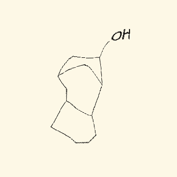 OC1CC2CC1C1CCCC21